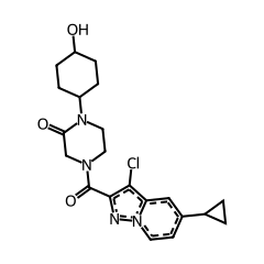 O=C(c1nn2ccc(C3CC3)cc2c1Cl)N1CCN(C2CCC(O)CC2)C(=O)C1